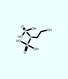 O=P(O)(O)N(CCO)P(=O)(O)O